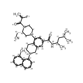 C=C(F)C(=O)N1CCN(c2cc(C(=O)N[C@H](C)CN(C)C)nc3c2CCN(c2cccc4cccc(C)c24)C3)C[C@@H]1CC#N